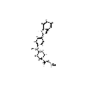 CN(c1ccc(-n2cc3ccccc3n2)cc1)C1CCN(C(=O)OC(C)(C)C)CC1